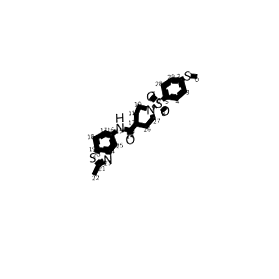 CSc1ccc(S(=O)(=O)N2CCC(C(=O)Nc3ccc4sc(C)nc4c3)CC2)cc1